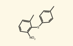 Cc1ccc(Sc2c(C)cccc2[N+](=O)[O-])cc1